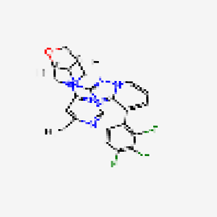 Cc1cc(N2C[C@@H]3CO[C@H](C2)C3Nc2nc3c(-c4ccc(F)c(F)c4F)cccn3n2)ncn1